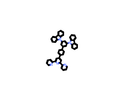 c1ccc(-c2cc(-c3ccc(-c4cc(-n5c6ccccc6c6ccccc65)cc(-n5c6ccccc6c6ccccc65)c4)cc3)cc(-c3ccccn3)n2)nc1